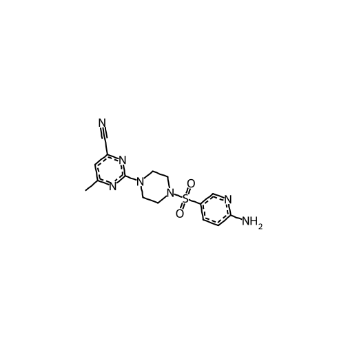 Cc1cc(C#N)nc(N2CCN(S(=O)(=O)c3ccc(N)nc3)CC2)n1